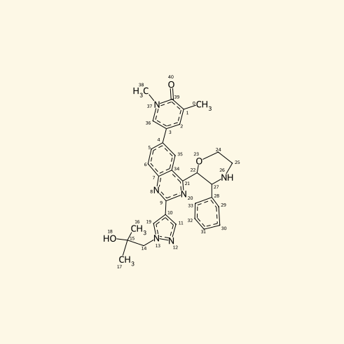 Cc1cc(-c2ccc3nc(-c4cnn(CC(C)(C)O)c4)nc(C4OCCNC4c4ccccc4)c3c2)cn(C)c1=O